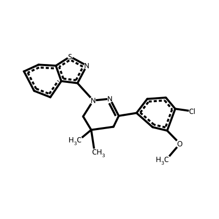 COc1cc(C2=NN(c3nsc4ccccc34)CC(C)(C)C2)ccc1Cl